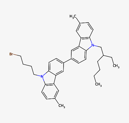 CCCCC(CC)Cn1c2ccc(C)cc2c2cc(-c3ccc4c(c3)c3cc(C)ccc3n4CCCCBr)ccc21